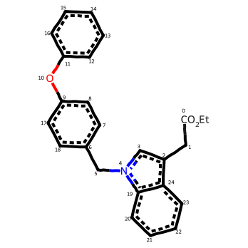 CCOC(=O)Cc1cn(Cc2ccc(Oc3ccccc3)cc2)c2ccccc12